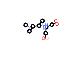 COC(=O)c1ccc(-c2cc(-c3ccc(C(=O)OC)cc3)nc(-n3c4ccccc4c4cc(-c5ccc6c(c5)c5ccccc5n6-c5ccccc5)ccc43)n2)cc1